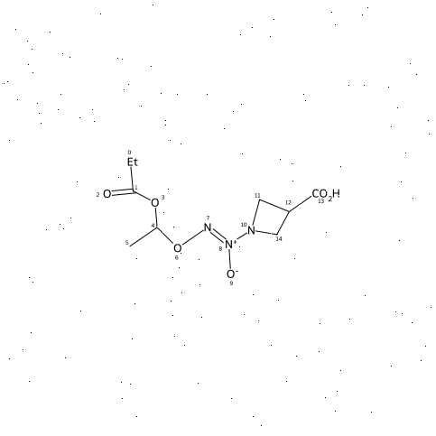 CCC(=O)OC(C)O/N=[N+](\[O-])N1CC(C(=O)O)C1